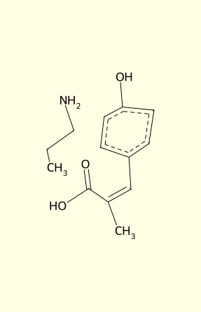 CC(=Cc1ccc(O)cc1)C(=O)O.CCCN